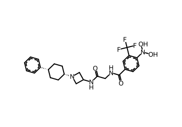 O=C(CNC(=O)c1ccc(N(O)O)c(C(F)(F)F)c1)NC1CN([C@H]2CC[C@@H](c3ccccc3)CC2)C1